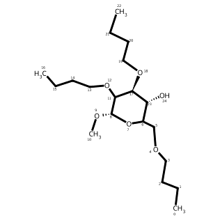 CCCCOCC1O[C@H](OC)C(OCCCC)[C@@H](OCCCC)[C@@H]1O